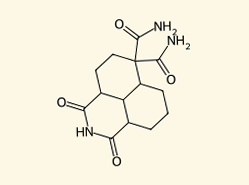 NC(=O)C1(C(N)=O)CCC2C(=O)NC(=O)C3CCCC1C32